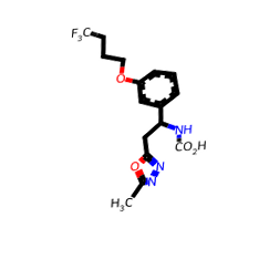 Cc1nnc(CC(NC(=O)O)c2cccc(OCCCC(F)(F)F)c2)o1